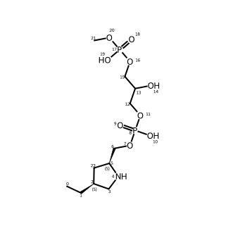 CC[C@@H]1CN[C@H](COP(=O)(O)OCC(O)COP(=O)(O)OC)C1